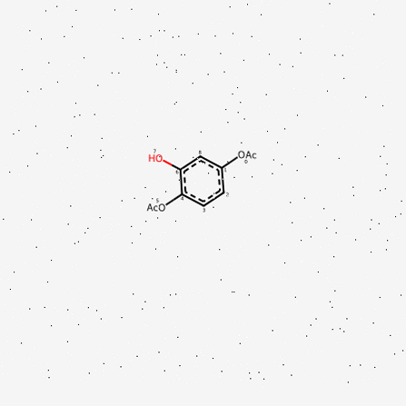 CC(=O)Oc1ccc(OC(C)=O)c(O)c1